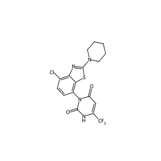 O=c1cc(C(F)(F)F)[nH]c(=O)n1-c1ccc(Cl)c2nc(N3CCCCC3)sc12